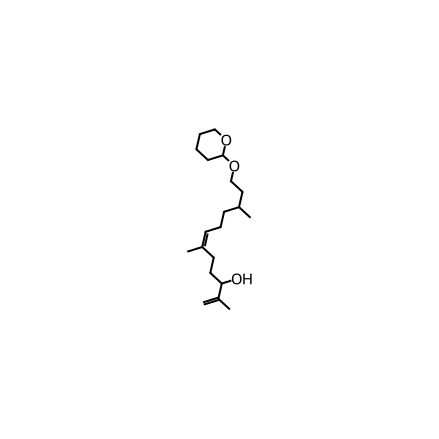 C=C(C)C(O)CCC(C)=CCCC(C)CCOC1CCCCO1